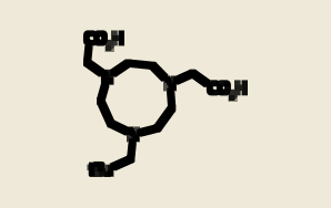 CC(C)(C)CN1CCN(CC(=O)O)CCN(CC(=O)O)CC1